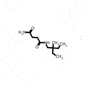 CCC(C)(CC)CNC(=O)CCC(N)=O